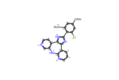 COc1cc(Cl)c(-c2nc3c([nH]2)-c2ccncc2Nc2ncccc2-3)c(OC)c1